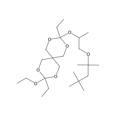 CCOC1(CC)OCC2(CO1)COC(CC)(OC(C)COC(C)(C)CC(C)(C)C)OC2